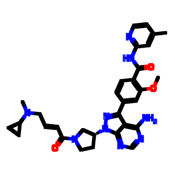 COc1cc(-c2nn([C@@H]3CCN(C(=O)C=CCN(C)C4CC4)C3)c3ncnc(N)c23)ccc1C(=O)Nc1cc(C)ccn1